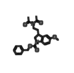 COc1ccc2c(c1)C(CCN(C(C)=O)C(C)=O)CN2C(=O)OCc1ccccc1